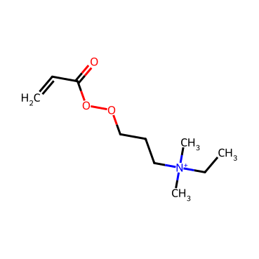 C=CC(=O)OOCCC[N+](C)(C)CC